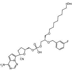 CCCCCCCCCCCCCCCCCCOC[C@H](COP(=O)(O)OC[C@@H]1CC[C@](C#N)(c2ccc3c(N)ncnn23)O1)OCc1cccc(F)c1